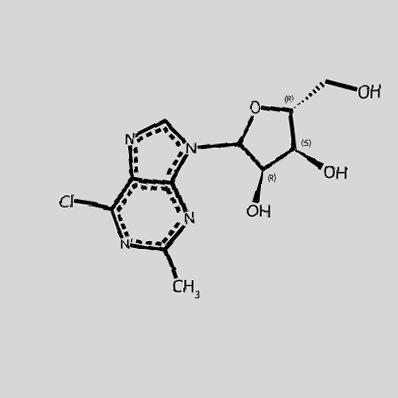 Cc1nc(Cl)c2ncn(C3O[C@H](CO)[C@@H](O)[C@H]3O)c2n1